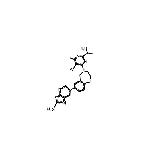 Cc1nc([C@H](C)N)nc(N2CCOc3ccc(-c4cnc5sc(N)nc5c4)cc3C2)c1C(C)C